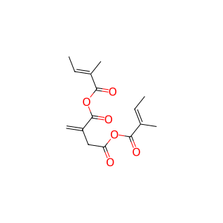 C=C(CC(=O)OC(=O)C(C)=CC)C(=O)OC(=O)C(C)=CC